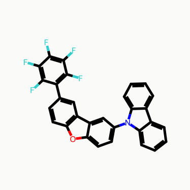 Fc1c(F)c(F)c(-c2ccc3oc4ccc(-n5c6ccccc6c6ccccc65)cc4c3c2)c(F)c1F